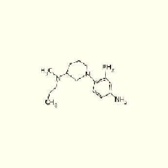 CCCN(C)C1CCCN(c2ccc(N)cc2P)C1